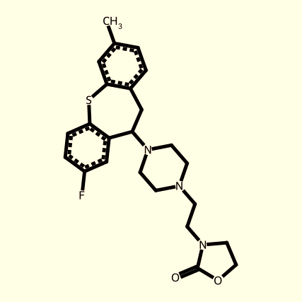 Cc1ccc2c(c1)Sc1ccc(F)cc1C(N1CCN(CCN3CCOC3=O)CC1)C2